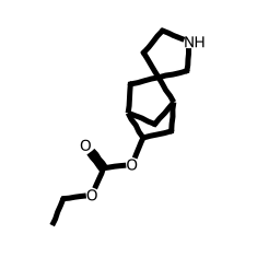 CCOC(=O)OC1CC2CC1CC21CCNC1